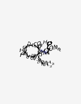 C=C1C(=O)N[C@H](C)C(=O)N[C@@H](C)C(=O)N[C@@H](C(=O)O)[C@H](C)C(=O)N[C@@H](CCCN=C(N)N)C(=O)N[C@@H](/C=C/C(C)=C/[C@H](C)[C@H](Cc2ccccc2)OC)[C@H](C)C(=O)N[C@@H](C(=O)O)CCC(=O)N1C